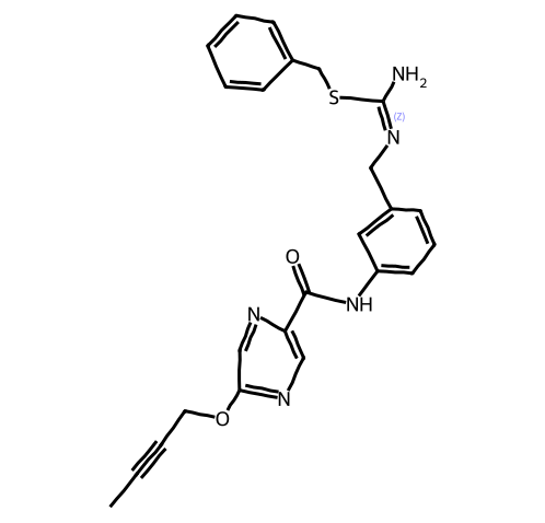 CC#CCOc1cnc(C(=O)Nc2cccc(C/N=C(/N)SCc3ccccc3)c2)cn1